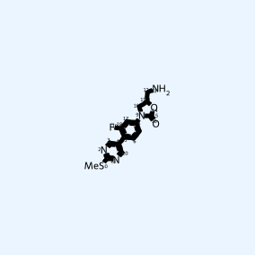 CSc1ncc(-c2ccc(N3CC(CN)OC3=O)cc2F)cn1